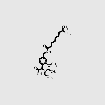 CCN(CC)C(C(=O)O)c1ccc(CNC(=O)CCCC/C=C/C(C)C)cc1OC